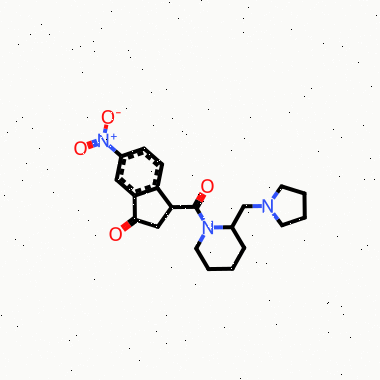 O=C1CC(C(=O)N2CCCCC2CN2CCCC2)c2ccc([N+](=O)[O-])cc21